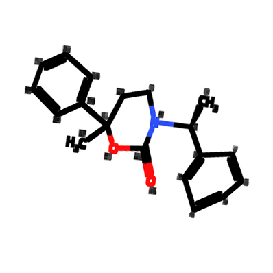 C[C@@H](c1ccccc1)N1CCC(C)(c2ccccc2)OC1=O